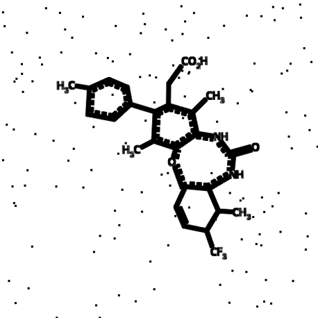 Cc1ccc(-c2c(CC(=O)O)c(C)c3[nH]c(=O)[nH]c4c(oc3c2C)C=CC(C(F)(F)F)C4C)cc1